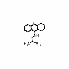 NC(N)CNc1c2c(nc3ccccc13)CCCC2